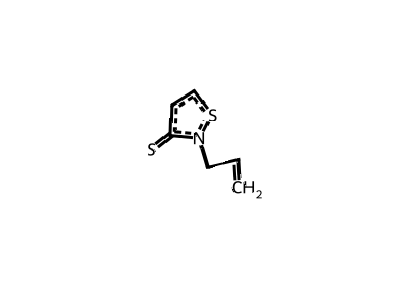 C=CCn1sccc1=S